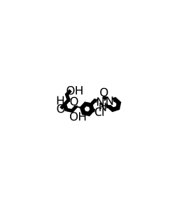 O=c1n(Cc2cc([C@@H]3OC(CO)[C@H]4OC4[C@@H]3O)ccc2Cl)nc2ccccn12